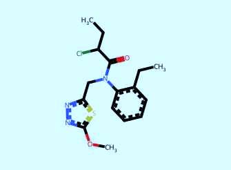 CCc1ccccc1N(Cc1nnc(OC)s1)C(=O)C(Cl)CC